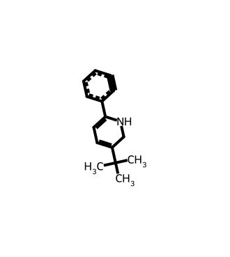 CC(C)(C)C1=CC=C(c2c#cccc2)NC1